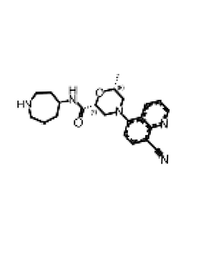 C[C@@H]1CN(c2ccc(C#N)c3ncccc23)C[C@H](C(=O)NC2CCCNCC2)O1